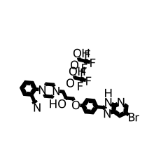 N#Cc1ccccc1N1CCN(CC(O)COc2ccc(-c3nc4cc(Br)cnc4[nH]3)cc2)CC1.O=C(O)C(F)(F)F.O=C(O)C(F)(F)F